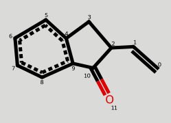 C=CC1Cc2ccccc2C1=O